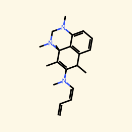 C=C/C=C\N(C)C1=C(C)C2(C)c3c(cccc3N(C)CN2C)C1C